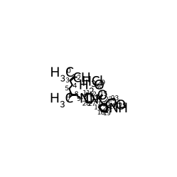 CC(C)=CCC/C(C)=C/CN1CCN(C(=O)c2cccc3c2CCC(=O)N3)CC1.Cl.O